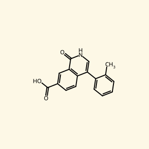 Cc1ccccc1-c1c[nH]c(=O)c2cc(C(=O)O)ccc12